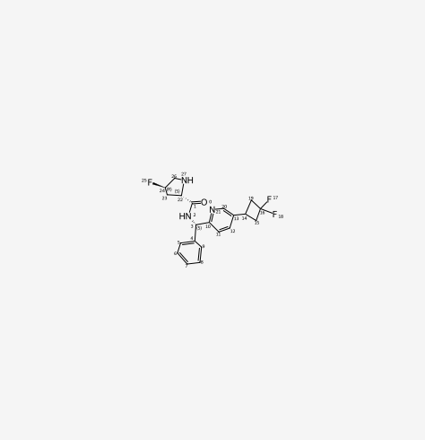 O=C(N[C@@H](c1ccccc1)c1ccc(C2CC(F)(F)C2)cn1)[C@@H]1C[C@@H](F)CN1